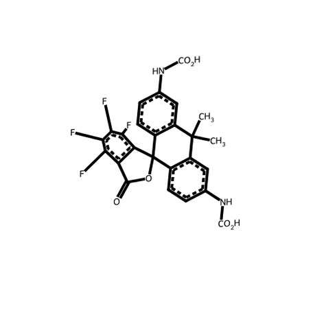 CC1(C)c2cc(NC(=O)O)ccc2C2(OC(=O)c3c(F)c(F)c(F)c(F)c32)c2ccc(NC(=O)O)cc21